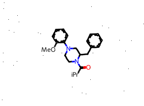 COc1ccccc1N1CCN(C(=O)C(C)C)C(Cc2ccccc2)C1